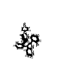 CN1CCC(n2cc(-c3ncccc3-c3cc(-c4ccccc4F)nc4ncccc34)cn2)CC1